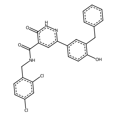 O=C(NCc1ccc(Cl)cc1Cl)c1cc(-c2ccc(O)c(Cc3ccccc3)c2)n[nH]c1=O